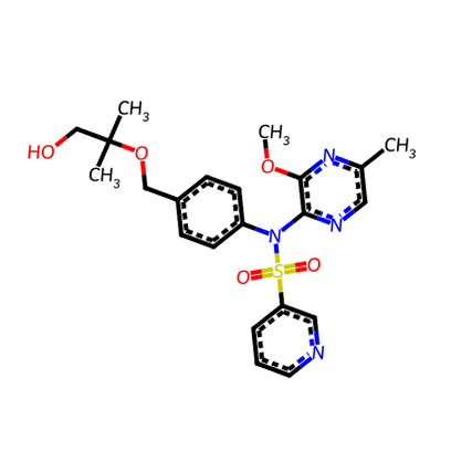 COc1nc(C)cnc1N(c1ccc(COC(C)(C)CO)cc1)S(=O)(=O)c1cccnc1